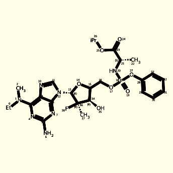 CCN(C)c1nc(N)nc2c1ncn2[C@@H]1OC(COP(=O)(N[C@@H](C)C(=O)OC(C)C)Oc2ccccc2)[C@@H](O)[C@@]1(C)F